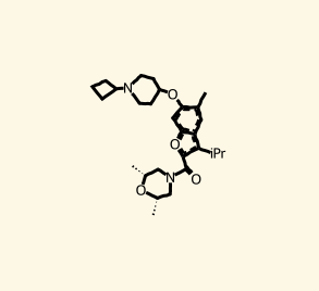 Cc1cc2c(C(C)C)c(C(=O)N3C[C@@H](C)O[C@@H](C)C3)oc2cc1OC1CCN(C2CCC2)CC1